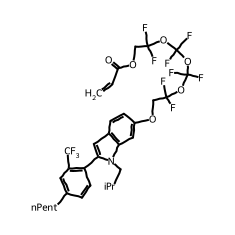 C=CC(=O)OCC(F)(F)OC(F)(F)OC(F)(F)OC(F)(F)COc1ccc2cc(-c3ccc(CCCCC)cc3C(F)(F)F)n(CC(C)C)c2c1